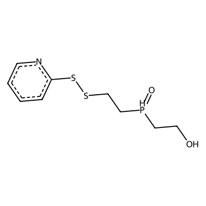 O=[PH](CCO)CCSSc1ccccn1